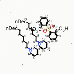 CCCCCCCCCCCCCCCC[n+]1ccccc1.CCCCCCCCCCCCCCCC[n+]1ccccc1.O=C(O)c1ccccc1S(=O)(=O)c1ccccc1C(=O)O